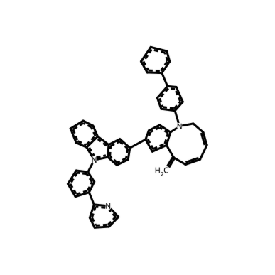 C=C1/C=C\C=C/CN(c2ccc(-c3ccccc3)cc2)c2ccc(-c3ccc4c(c3)c3ccccc3n4-c3cccc(-c4ccccn4)c3)cc21